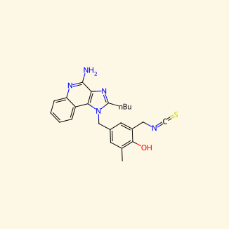 CCCCc1nc2c(N)nc3ccccc3c2n1Cc1cc(C)c(O)c(CN=C=S)c1